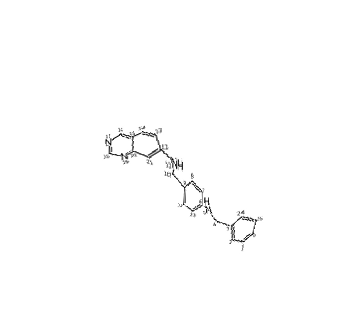 c1ccc(CNc2ccc(CNc3ccc4cncnc4c3)cc2)cc1